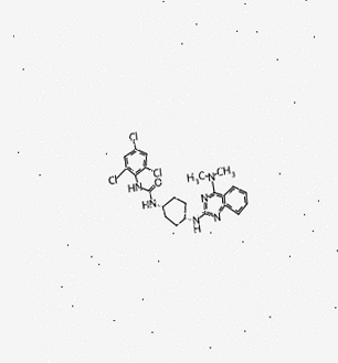 CN(C)c1nc(N[C@H]2CC[C@@H](NC(=O)Nc3c(Cl)cc(Cl)cc3Cl)CC2)nc2ccccc12